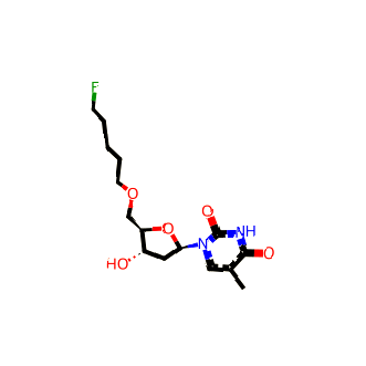 Cc1cn([C@H]2C[C@H](O)[C@@H](COCCCCCF)O2)c(=O)[nH]c1=O